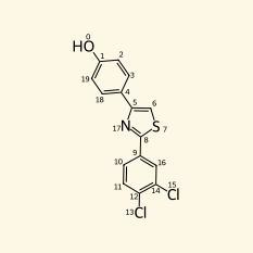 Oc1ccc(-c2csc(-c3ccc(Cl)c(Cl)c3)n2)cc1